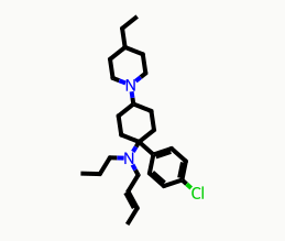 CC=CCN(CCC)C1(c2ccc(Cl)cc2)CCC(N2CCC(CC)CC2)CC1